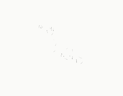 CC1CC(c2cncc(C#N)c2)=CC=C1C1=CCCC(N2C3=C(CC(C)C(C)C3)N(c3ccccc3)C3C=CC=CC32)C1